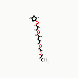 CCCOCCOCCCCCOCCCOC1CCCC1